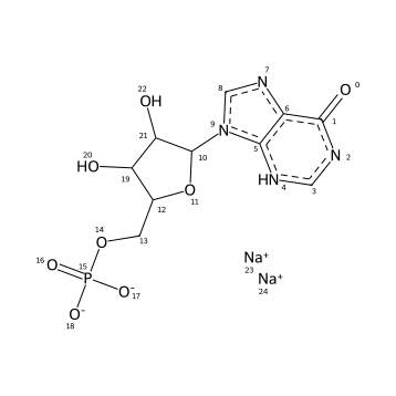 O=c1nc[nH]c2c1ncn2C1OC(COP(=O)([O-])[O-])C(O)C1O.[Na+].[Na+]